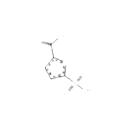 CCC(=O)c1ccc(S(C)(=O)=O)o1